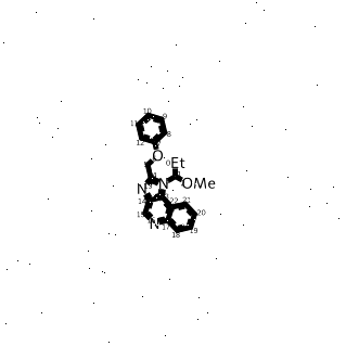 CCC(OC)n1c(COc2ccccc2)nc2cnc3ccccc3c21